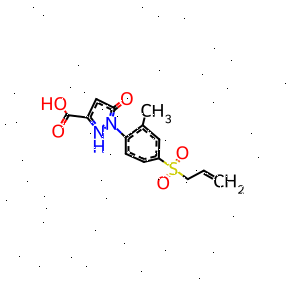 C=CCS(=O)(=O)c1ccc(-n2[nH]c(C(=O)O)cc2=O)c(C)c1